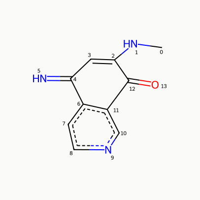 CNC1=CC(=N)c2ccncc2C1=O